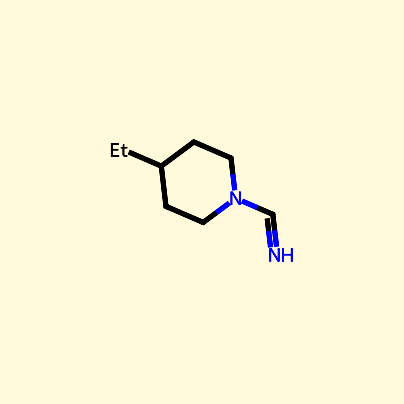 CCC1CCN(C=N)CC1